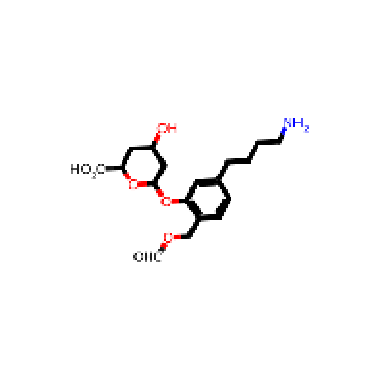 NCCCCc1ccc(COC=O)c(OC2CC(O)CC(C(=O)O)O2)c1